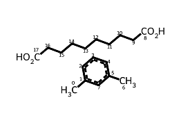 Cc1cccc(C)c1.O=C(O)CCCCCCCCC(=O)O